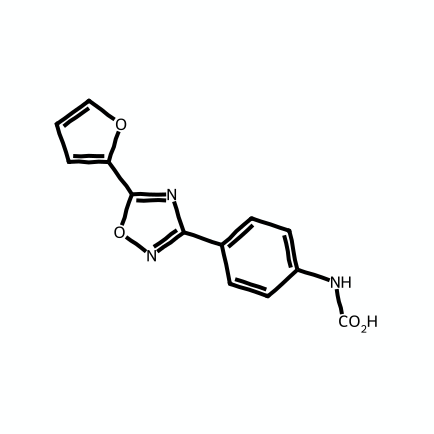 O=C(O)Nc1ccc(-c2noc(-c3ccco3)n2)cc1